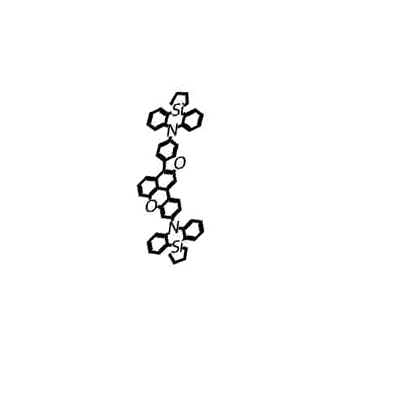 c1ccc2c(c1)N(c1ccc3c(c1)Oc1cccc4c1c-3cc1oc3cc(N5c6ccccc6[Si]6(CCCC6)c6ccccc65)ccc3c14)c1ccccc1[Si]21CCCC1